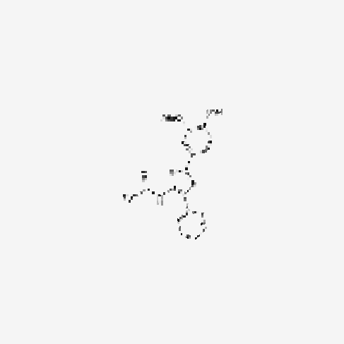 COc1ccc(-c2nc(-c3ccccc3)c(NC(=O)C(F)(F)F)s2)cc1OC